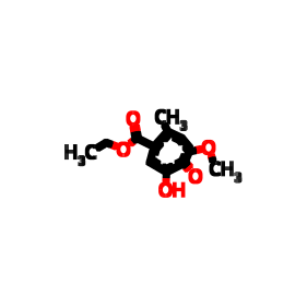 CCOC(=O)c1cc(O)c(=O)c(OC)cc1C